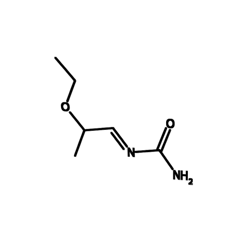 CCOC(C)C=NC(N)=O